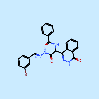 O=C(NC(C(=O)N/N=C/c1cccc(Br)c1)c1n[nH]c(=O)c2ccccc12)c1ccccc1